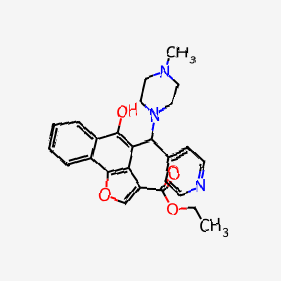 CCOC(=O)c1coc2c1c(C(c1ccncc1)N1CCN(C)CC1)c(O)c1ccccc12